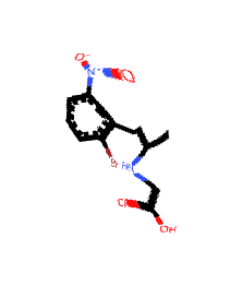 CC(Cc1c(Br)cccc1[N+](=O)[O-])NCC(=O)O